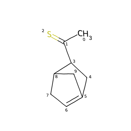 CC(=S)C1CC2=CCC1C2